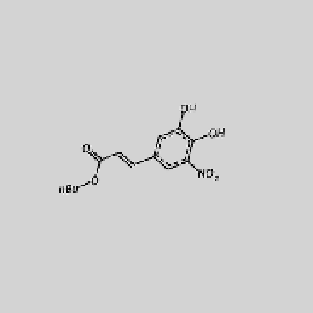 CCCCOC(=O)C=Cc1cc(O)c(O)c([N+](=O)[O-])c1